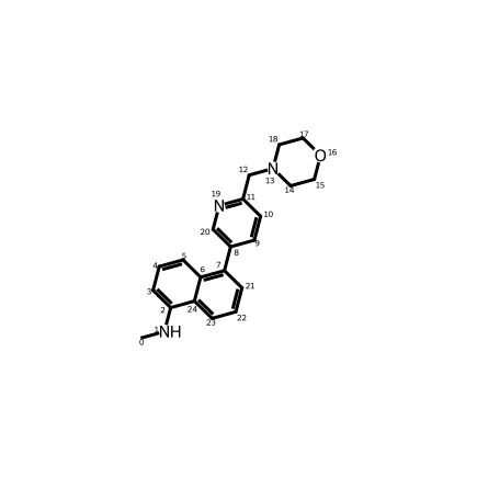 CNc1cccc2c(-c3ccc(CN4CCOCC4)nc3)cccc12